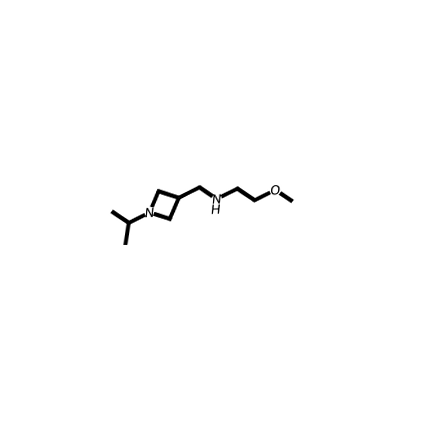 COCCNCC1CN(C(C)C)C1